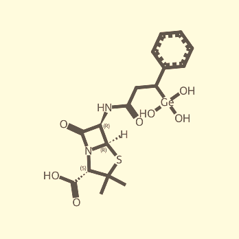 CC1(C)S[C@@H]2[C@H](NC(=O)C[CH](c3ccccc3)[Ge]([OH])([OH])[OH])C(=O)N2[C@H]1C(=O)O